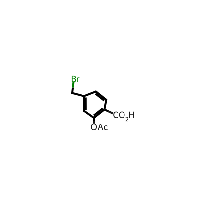 CC(=O)Oc1cc(CBr)ccc1C(=O)O